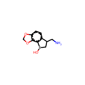 NCC1CB(O)c2c1ccc1c2OCO1